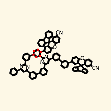 N#Cc1ccc2c(c1)C1(c3cc(-c4ccc(-c5cccc(-c6nc(-c7ccccc7)cc(-c7cccc(-c8cccc(-c9cc(-c%10cccc(-c%11cccc(-c%12ccc%13c(c%12)C%12(c%14cc(C#N)ccc%14O%13)c%13ccccc%13-c%13ccccc%13%12)c%11)c%10)nc(-c%10ccccc%10)n9)c8)c7)n6)c5)cc4)ccc3O2)c2ccccc2-c2ccccc21